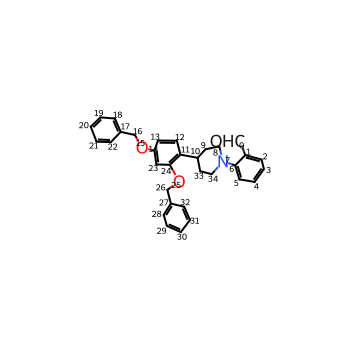 O=Cc1ccccc1N1CCC(c2ccc(OCc3ccccc3)cc2OCc2ccccc2)CC1